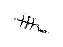 C=COC(F)(F)C(F)(F)C(F)(F)F